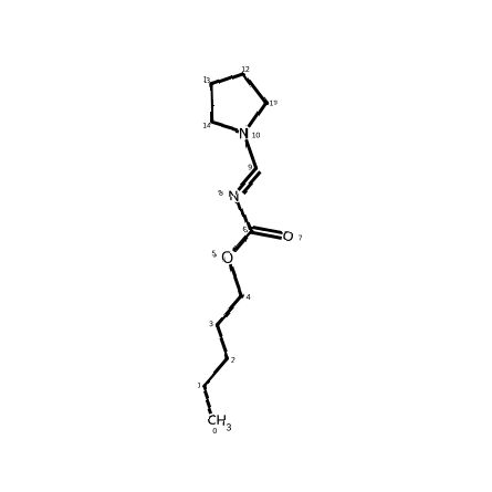 CCCCCOC(=O)N=CN1C[CH]CC1